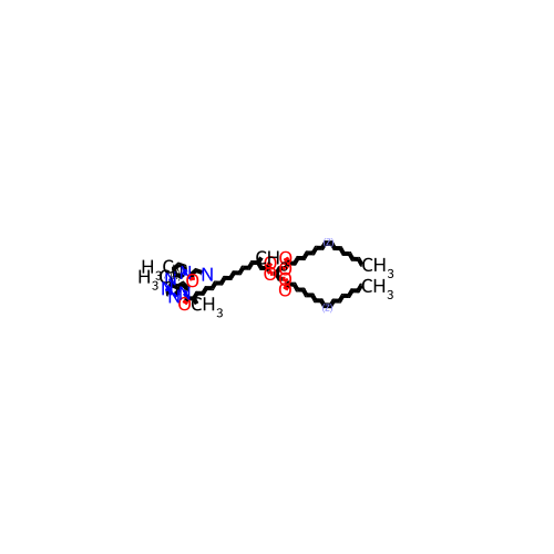 CCCCCCCC/C=C\CCCCCCCC(=O)OCC(COC(=O)CCCCCCC/C=C\CCCCCCCC)OC(=O)CC(C)CCCCCCCCCCCCCC(C)C(=O)n1ccc2c(N(C)[C@H]3CN(C(=O)CC#N)CC[C@H]3C)ncnc21